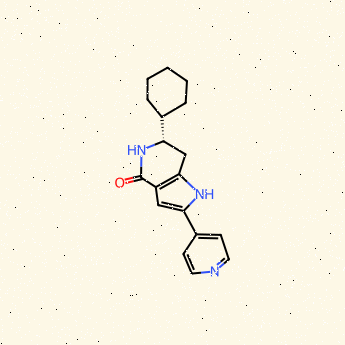 O=C1N[C@H](C2CCCCC2)Cc2[nH]c(-c3ccncc3)cc21